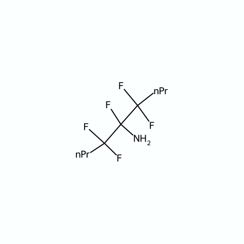 CCCC(F)(F)C(N)(F)C(F)(F)CCC